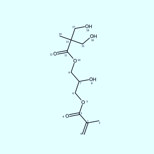 C=C(C)C(=O)OCC(O)COC(=O)C(C)(CO)CO